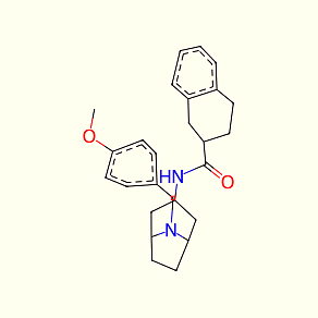 COc1ccc(CN2C3CCC2CC(NC(=O)C2CCc4ccccc4C2)C3)cc1